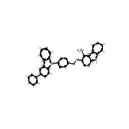 Nc1c(SCc2ccc(-n3c4ccccc4c4cc(-c5ccccc5)ccc43)cc2)ccc2sc3ccccc3c12